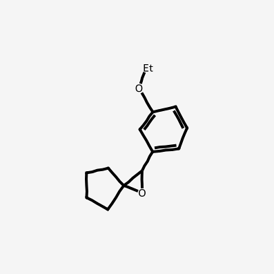 CCOc1cccc(C2OC23CCCC3)c1